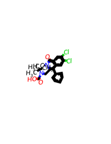 Cn1c(CN(C(=O)O)C(C)(C)C)c(-c2ccccc2)c2cc(Cl)c(Cl)cc2c1=O